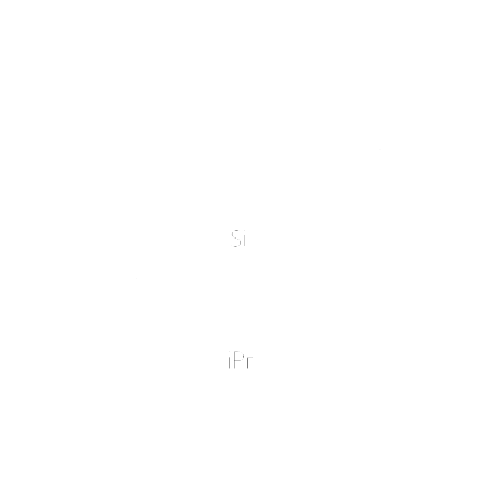 CC(C)c1ccccc1[Si](c1ccccc1)(c1ccccc1)c1ccccc1